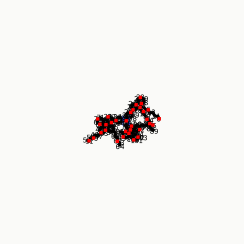 CCCCCCCCC1(CCCCCCCC)c2ccccc2-c2ccc(-c3ccc(N(c4ccc(-c5ccc6c(c5)C(c5ccc(CCCCCC)cc5)(c5ccc(CCCCCC)cc5)c5ccccc5-6)cc4)c4ccc(C5(c6ccc(CCCCCC)cc6)c6cc(C)ccc6-c6ccc(C)cc65)cc4)cc3)cc21